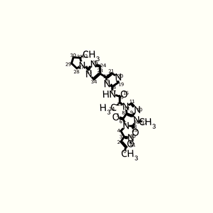 Cc1cc(Cn2c(=O)c3c(ncn3[C@@H](C)C(=O)Nc3cncc(-c4cnc(N5CCC[C@H]5C)nc4)n3)n(C)c2=O)no1